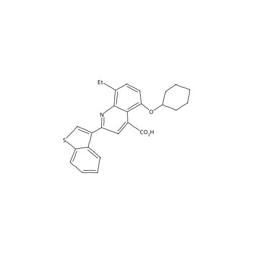 CCc1ccc(OC2CCCCC2)c2c(C(=O)O)cc(-c3csc4ccccc34)nc12